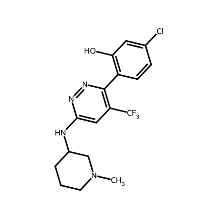 CN1CCCC(Nc2cc(C(F)(F)F)c(-c3ccc(Cl)cc3O)nn2)C1